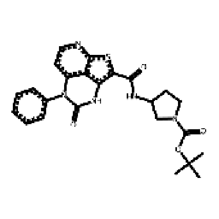 CC(C)(C)OC(=O)N1CCC(NC(=O)c2sc3nccc4c3c2NC(=O)N4c2ccccc2)C1